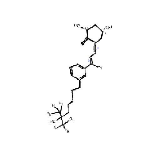 [2H]C([2H])([2H])C(O)(CCCCCc1cccc(/C(=C/C=C2/C[C@@H](O)C[C@H](O)C2=C)CC)c1)C([2H])([2H])[2H]